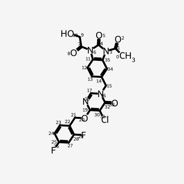 CC(=O)n1c(=O)n(C(=O)CO)c2ccc(Cn3cnc(OCc4ccc(F)cc4F)c(Cl)c3=O)cc21